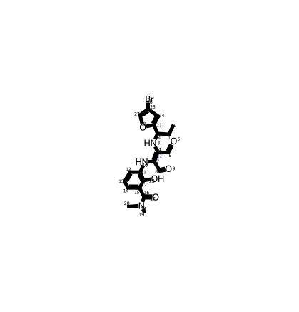 CCC(N/C(C=O)=C(/C=O)Nc1cccc(C(=O)N(C)C)c1O)c1cc(Br)co1